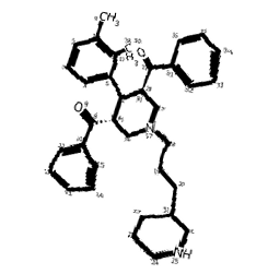 Cc1cccc(C2[C@@H](C(=O)c3ccccc3)CN(CCCC3CCCNC3)C[C@@H]2C(=O)c2ccccc2)c1C